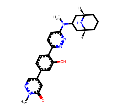 CN(c1ccc(-c2ccc(-c3cnn(C)c(=O)c3)cc2O)nn1)C1C[C@H]2CCC[C@@H](C1)N2